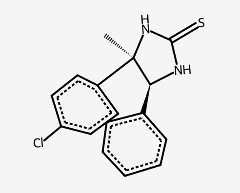 C[C@]1(c2ccc(Cl)cc2)NC(=S)N[C@H]1c1ccccc1